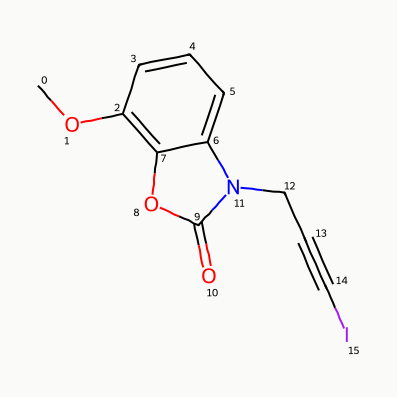 COc1cccc2c1oc(=O)n2CC#CI